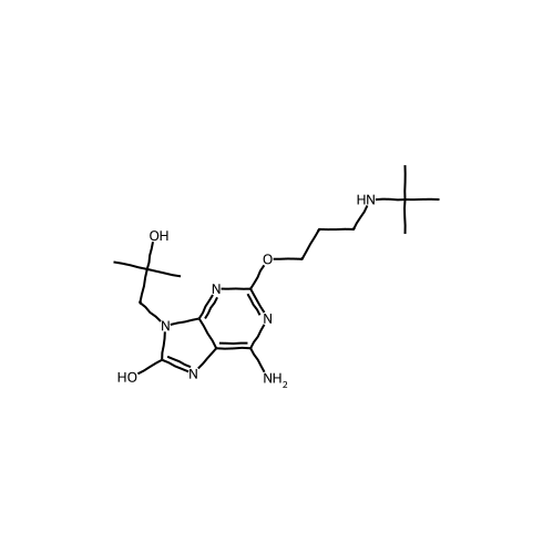 CC(C)(O)Cn1c(O)nc2c(N)nc(OCCCNC(C)(C)C)nc21